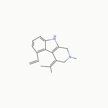 C=Cc1cccc2[nH]c3c(c12)C(=C(C)C)CN(C)C3